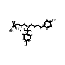 CCOC(CCCN(CCCCc1ccc(F)cc1)C(C)(C)c1ccc(C)nc1)(C(F)(F)F)C(F)(F)F